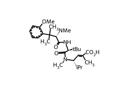 CN[C@H](C(=O)N[C@H](C(=O)N(C)[C@H](/C=C(\C)C(=O)O)C(C)C)C(C)(C)C)C(C)(C)c1ccccc1OC